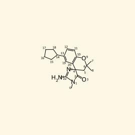 CN1C(=O)C2(CC(C)(C)Oc3ccc(C4CCCC4)cc32)N=C1N